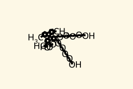 Cc1ccc2c(c1)C(c1ccc(COCCOCCOCCOCCO)c(COCCOCCOCCOCCO)c1)(c1ccc(C(=O)O)c(C(=O)O)c1)c1cc(C)ccc1-2